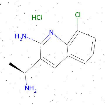 C[C@H](N)c1cc2cccc(Cl)c2nc1N.Cl